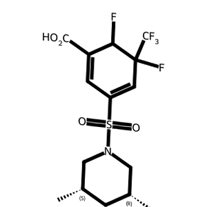 C[C@@H]1C[C@H](C)CN(S(=O)(=O)C2=CC(F)(C(F)(F)F)C(F)C(C(=O)O)=C2)C1